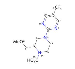 COC[C@@H]1CN(c2ncc(C(F)(F)F)cn2)CCN1C(=O)O